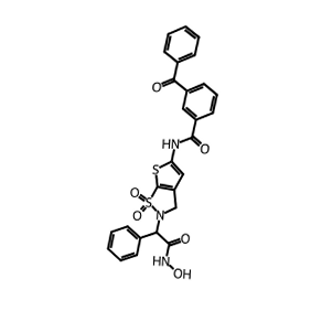 O=C(Nc1cc2c(s1)S(=O)(=O)N(C(C(=O)NO)c1ccccc1)C2)c1cccc(C(=O)c2ccccc2)c1